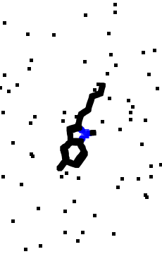 CCCCCc1cc2cc(C)ccc2n1C